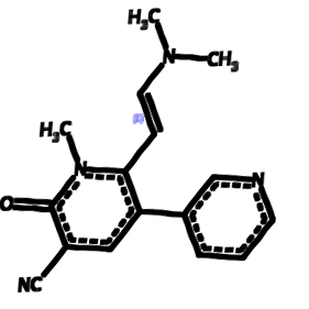 CN(C)/C=C/c1c(-c2cccnc2)cc(C#N)c(=O)n1C